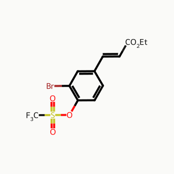 CCOC(=O)/C=C/c1ccc(OS(=O)(=O)C(F)(F)F)c(Br)c1